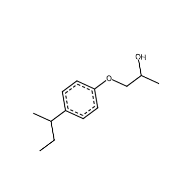 CCC(C)c1ccc(OCC(C)O)cc1